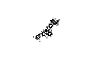 C[C@@H]1CN(CC2CCN(c3c(F)cccc3NS(=O)(=O)c3ccc(S(=O)(=N[Si](C)(C)C(C)(C)C)N(C)C)cc3)CC2)C[C@H](C)O1